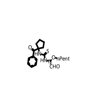 CCCCCON(C=O)NC(=S)NC1(C(=O)c2ccccc2)CCCC1